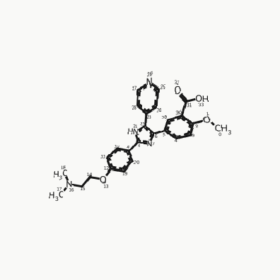 COc1ccc(-c2nc(-c3ccc(OCCN(C)C)cc3)[nH]c2-c2ccncc2)cc1C(=O)O